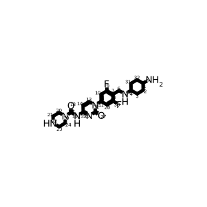 NC1CCC(NCc2c(F)cc(-n3ccc(NC(=O)N4CCNCC4)nc3=O)cc2F)CC1